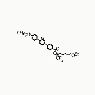 CCCCCCCc1ccc(-c2ccc(-c3ccc(C(=O)O[C@H](CCCCCOCC)C(F)(F)F)cc3)cn2)cc1